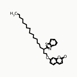 CCCCCCCCCCCCCCCC(CCOc1ccc2ccc(=O)oc2c1)c1nc2ccccc2s1